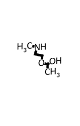 CNCCO[C](C)O